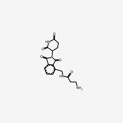 NCCC(=O)NCc1cccc2c1C(=O)N(C1CCC(=O)NC1=O)C2=O